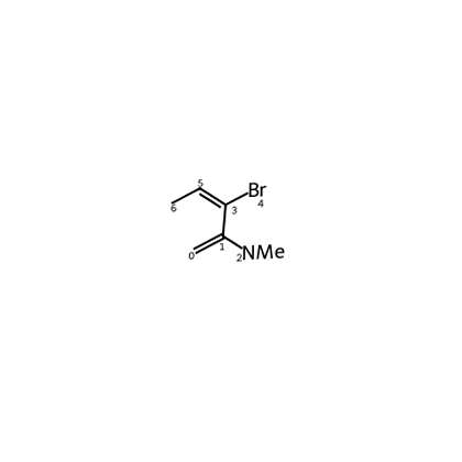 C=C(NC)/C(Br)=C\C